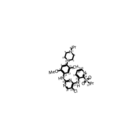 COc1cc(N2CCN(C(C)C)CC2)c(C)cc1Nc1ncc(Cl)c(Nc2cccnc2S(=O)(=O)C(C)C)n1